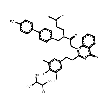 CCN(CC)CCN(Cc1ccc(-c2ccc(C(F)(F)F)cc2)cc1)C(=O)Cn1c(CCc2cc(F)c(F)c(F)c2)nc(=O)c2ccccc21.O=C(O)C(O)C(O)C(=O)O